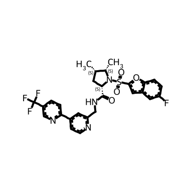 C[C@H]1C[C@@H](C(=O)NCc2cc(-c3ccc(C(F)(F)F)cn3)ccn2)N(S(=O)(=O)c2cc3cc(F)ccc3o2)[C@H]1C